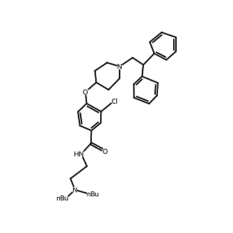 CCCCN(CCCC)CCNC(=O)c1ccc(OC2CCN(CC(c3ccccc3)c3ccccc3)CC2)c(Cl)c1